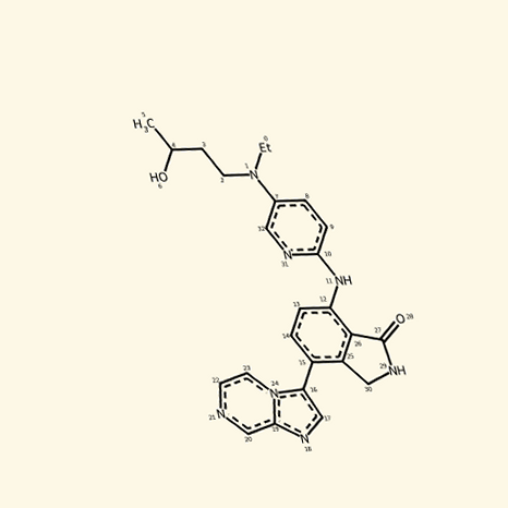 CCN(CCC(C)O)c1ccc(Nc2ccc(-c3cnc4cnccn34)c3c2C(=O)NC3)nc1